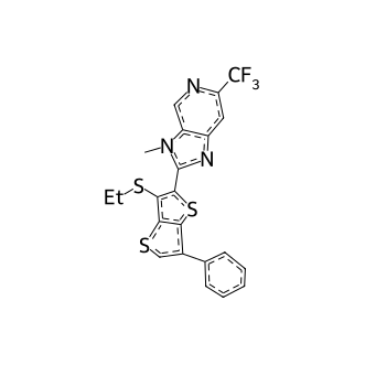 CCSc1c(-c2nc3cc(C(F)(F)F)ncc3n2C)sc2c(-c3ccccc3)csc12